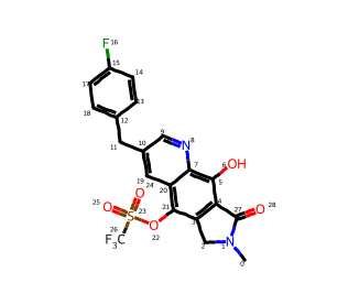 CN1Cc2c(c(O)c3ncc(Cc4ccc(F)cc4)cc3c2OS(=O)(=O)C(F)(F)F)C1=O